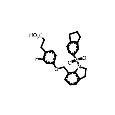 O=C(O)CCc1ccc(OCc2cccc3c2N(S(=O)(=O)c2ccc4c(c2)CCC4)CC3)cc1F